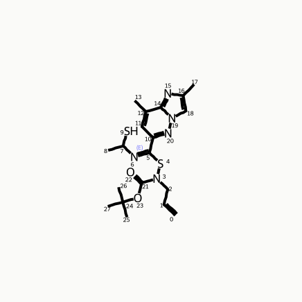 C=CCN(S/C(=N/C(C)S)c1cc(C)c2nc(C)cn2n1)C(=O)OC(C)(C)C